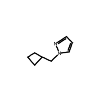 [c]1cnn(CC2CCC2)c1